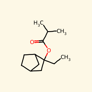 CCC1(OC(=O)C(C)C)CC2CCC1C2